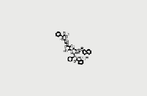 CCCC(NC(=O)[C@H](CS(=O)(=O)c1ccc2ccccc2c1)NC(=O)[C@@H](NC(=O)c1ccccc1C(=O)O)C1CCCCC1)C(=O)C(=O)NCC(=O)N[C@H](C(N)=O)c1ccccc1